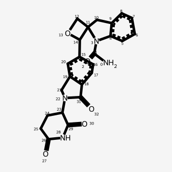 NC(=O)N1c2ccccc2CC12COC2c1ccc2c(c1)CN(C1CCC(=O)NC1=O)C2=O